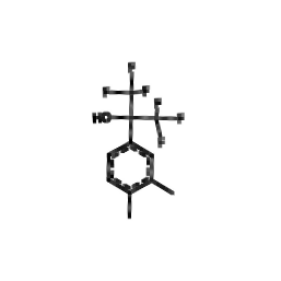 Cc1ccc(C(O)(C(F)(F)F)C(F)(F)F)cc1C